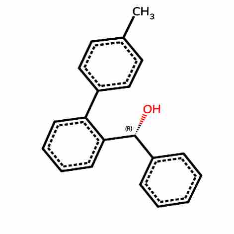 Cc1ccc(-c2ccccc2[C@H](O)c2ccccc2)cc1